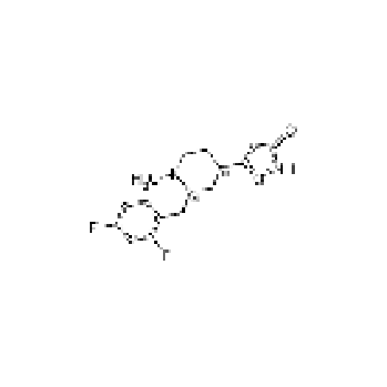 CN1CC[C@@H](c2cc(=O)[nH]o2)C[C@H]1Cc1ccc(F)cc1F